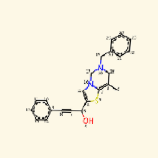 CC1=C2SC(C(O)C#Cc3ccccc3)=CN2CN(Cc2ccccc2)C1